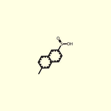 Cc1ccc2cc(S(=O)O)ccc2c1